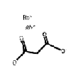 O=C([O-])CC(=O)[O-].[Rb+].[Rb+]